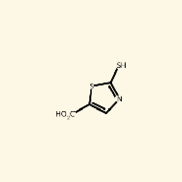 O=C(O)c1cnc(S)s1